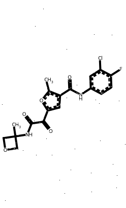 Cc1oc(C(=O)C(=O)NC2(C)COC2)cc1C(=O)Nc1ccc(F)c(Cl)c1